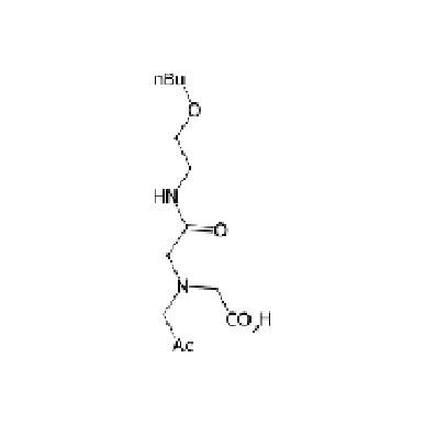 CCCCOCCNC(=O)CN(CC(C)=O)CC(=O)O